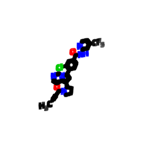 CC#CC(=O)N1CCCC1c1cc(-c2ccc(C(=O)Nc3cc(C(F)(F)F)ccn3)cc2Cl)n2cnccc12